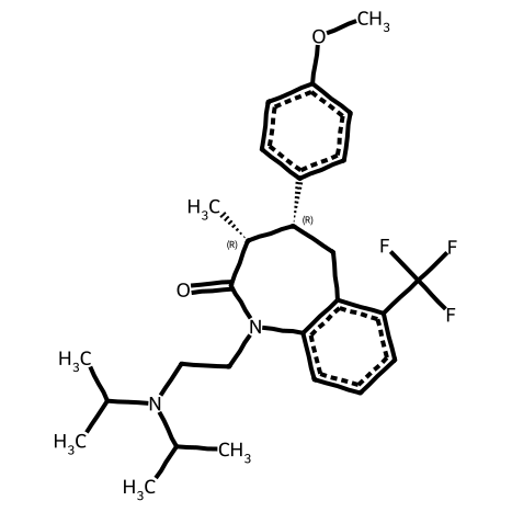 COc1ccc([C@@H]2Cc3c(cccc3C(F)(F)F)N(CCN(C(C)C)C(C)C)C(=O)[C@@H]2C)cc1